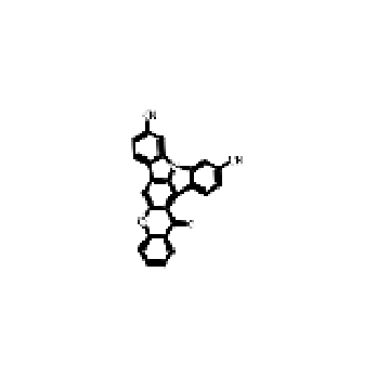 N#Cc1ccc2c3cc4oc5ccccc5c(=O)c4c4c5ccc(C#N)cc5n(c2c1)c34